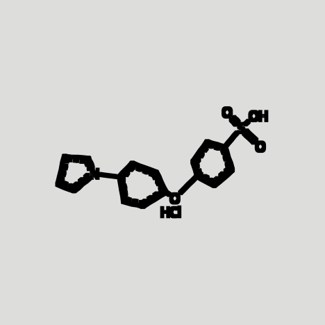 Cl.O=S(=O)(O)c1ccc(Oc2ccc(-n3cccc3)cc2)cc1